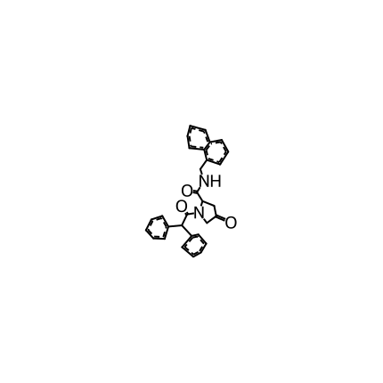 O=C1CC(C(=O)NCc2cccc3ccccc23)N(C(=O)C(c2ccccc2)c2ccccc2)C1